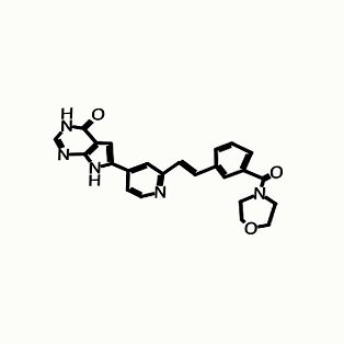 O=C(c1cccc(/C=C/c2cc(-c3cc4c(=O)[nH]cnc4[nH]3)ccn2)c1)N1CCOCC1